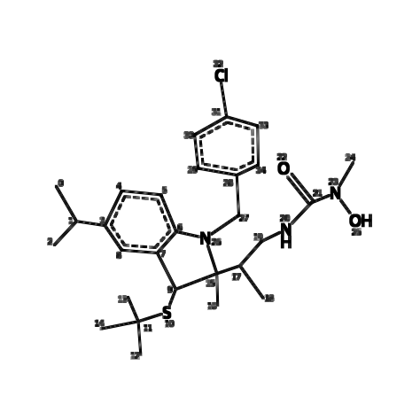 CC(C)c1ccc2c(c1)C(SC(C)(C)C)C(C)(C(C)CNC(=O)N(C)O)N2Cc1ccc(Cl)cc1